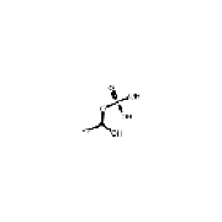 CCC(O)OP(=O)(O)O